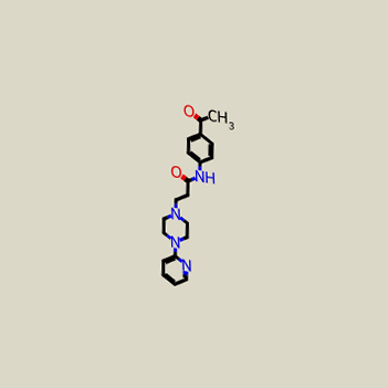 CC(=O)c1ccc(NC(=O)CCN2CCN(c3ccccn3)CC2)cc1